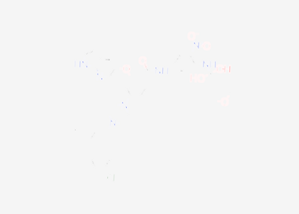 CC1(C)CCC(CN2CCN(c3ccc(C(=O)NSc4ccc(NC(O)(O)C5CCOCC5)c([N+](=O)[O-])c4)c(Oc4cnc5[nH]ccc5c4)c3)CC2)=C(c2ccc(Cl)cc2)C1